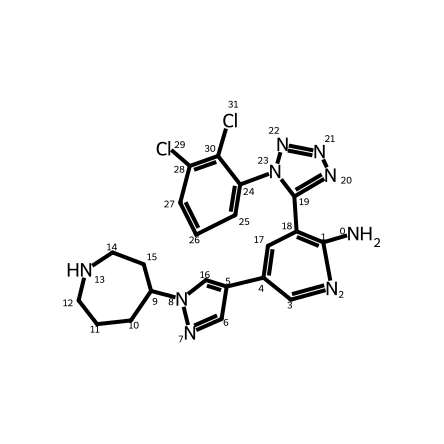 Nc1ncc(-c2cnn(C3CCCNCC3)c2)cc1-c1nnnn1-c1cccc(Cl)c1Cl